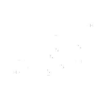 Cc1cnc(-c2nnc(NC3CC(C)(O)C3)nc2C)c(O)c1